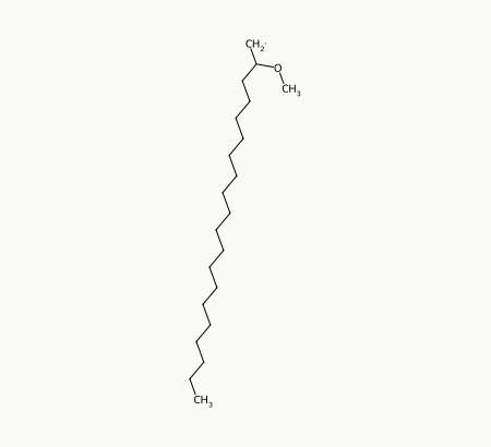 [CH2]C(CCCCCCCCCCCCCCCCCC)OC